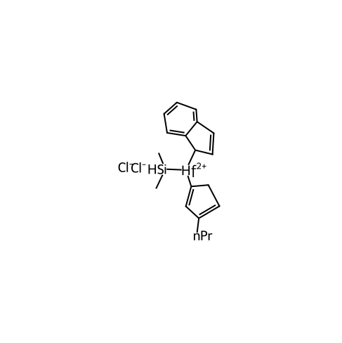 CCCC1=CC[C]([Hf+2]([CH]2C=Cc3ccccc32)[SiH](C)C)=C1.[Cl-].[Cl-]